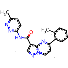 Cc1ccc(NC(=O)c2cnn3ccc(-c4ccccc4C(F)(F)F)nc23)nn1